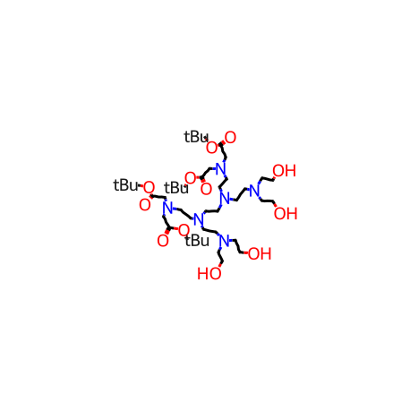 CC(C)(C)OC(=O)CN(CCN(CCN(CCO)CCO)CCN(CCN(CCO)CCO)CCN(CC(=O)OC(C)(C)C)CC(=O)OC(C)(C)C)CC(=O)OC(C)(C)C